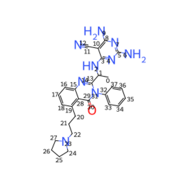 CC(Nc1nc(N)nc(N)c1C#N)c1nc2cccc(CCCN3CCCC3)c2c(=O)n1-c1ccccc1